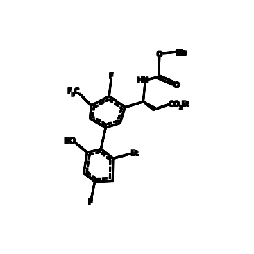 CCOC(=O)C[C@H](NC(=O)OC(C)(C)C)c1cc(-c2c(O)cc(F)cc2CC)cc(C(F)(F)F)c1F